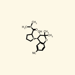 CN(C)C(=O)C1CCCN1[C@@H]1c2cc(C#N)ccc2OC(C)(C)[C@H]1O